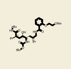 CCCCNC(=O)[C@@H](C[C@H](O)[C@H](C[C@H](CNC(=O)c1ccccc1OCCOC)C(C)C)NC(=O)OC(C)(C)C)C(C)C